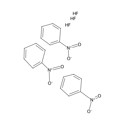 F.F.F.O=[N+]([O-])c1ccccc1.O=[N+]([O-])c1ccccc1.O=[N+]([O-])c1ccccc1